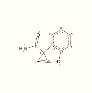 NC(=O)C12C=C1Oc1ccccc12